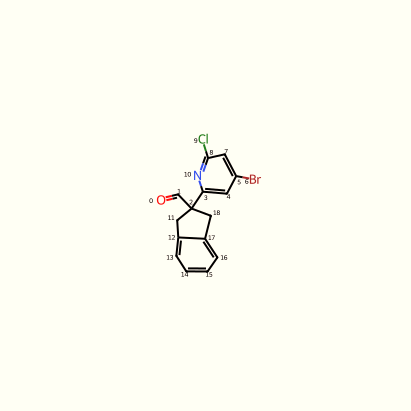 O=CC1(c2cc(Br)cc(Cl)n2)Cc2ccccc2C1